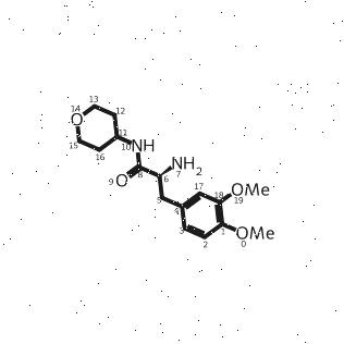 COc1ccc(C[C@H](N)C(=O)NC2CCOCC2)cc1OC